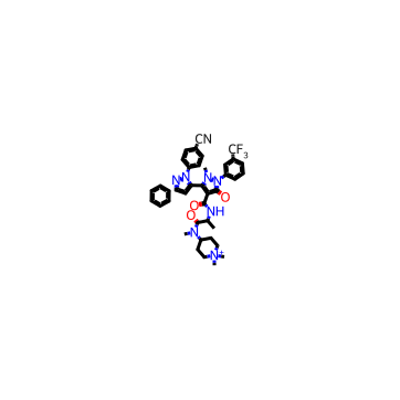 CC(NC(=O)c1c(-c2ccnn2-c2ccc(C#N)cc2)n(C)n(-c2cccc(C(F)(F)F)c2)c1=O)C(=O)N(C)C1CC[N+](C)(C)CC1.c1ccccc1